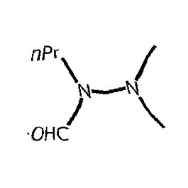 CCCN([C]=O)N(C)C